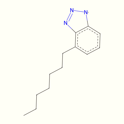 CCCCCCCc1cccc2c1N=N[N]2